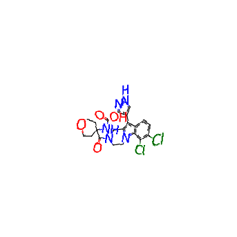 O=C(O)NC1(C(=O)N2CCn3c(c(-c4cn[nH]c4)c4ccc(Cl)c(Cl)c43)C2)CCOCC1